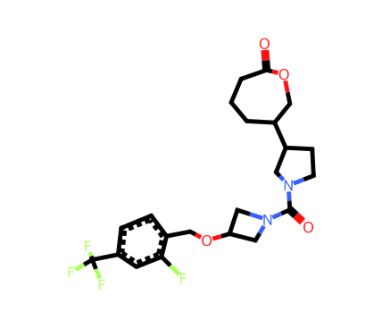 O=C1CCCC(C2CCN(C(=O)N3CC(OCc4ccc(C(F)(F)F)cc4F)C3)C2)CO1